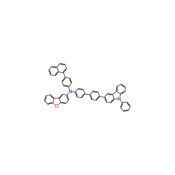 c1ccc(-n2c3ccccc3c3cc(-c4ccc(-c5ccc(N(c6ccc(-c7cccc8ccccc78)cc6)c6ccc7oc8ccccc8c7c6)cc5)cc4)ccc32)cc1